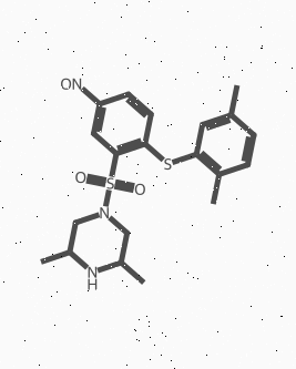 Cc1ccc(C)c(Sc2ccc(N=O)cc2S(=O)(=O)N2CC(C)NC(C)C2)c1